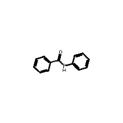 O=C(Pc1ccccc1)c1ccccc1